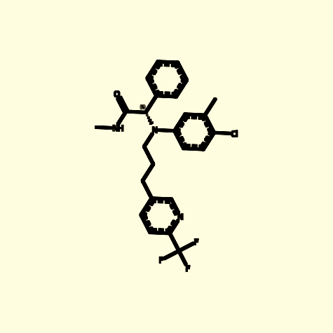 CNC(=O)[C@H](c1ccccc1)N(CCCc1ccc(C(F)(F)F)nc1)c1ccc(Cl)c(C)c1